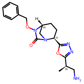 C[C@H](CN)c1nnc([C@@H]2CC[C@@H]3CN2C(=O)N3OCc2ccccc2)o1